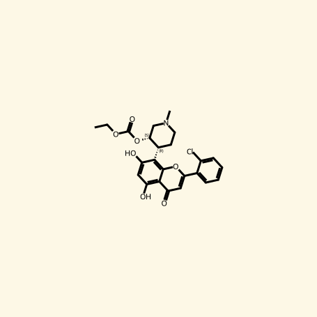 CCOC(=O)O[C@@H]1CN(C)CC[C@@H]1c1c(O)cc(O)c2c(=O)cc(-c3ccccc3Cl)oc12